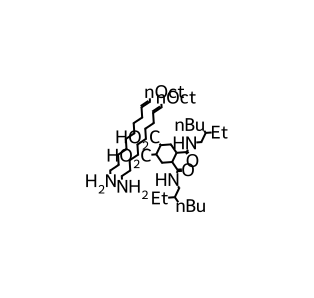 CCCCC(CC)CNC(=O)C1CC(C(=O)O)C(C(=O)O)CC1C(=O)NCC(CC)CCCC.CCCCCCCCC=CCCCCCCCCN.CCCCCCCCC=CCCCCCCCCN